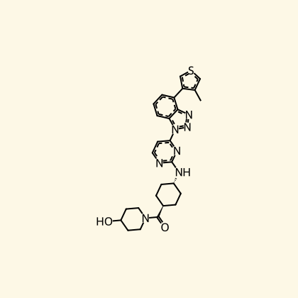 Cc1cscc1-c1cccc2c1nnn2-c1ccnc(N[C@H]2CC[C@H](C(=O)N3CCC(O)CC3)CC2)n1